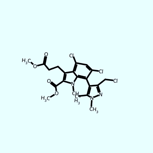 COC(=O)CCc1c(C(=O)OC)n(C)c2c(-c3c(CCl)nn(C)c3C)c(Cl)cc(Cl)c12